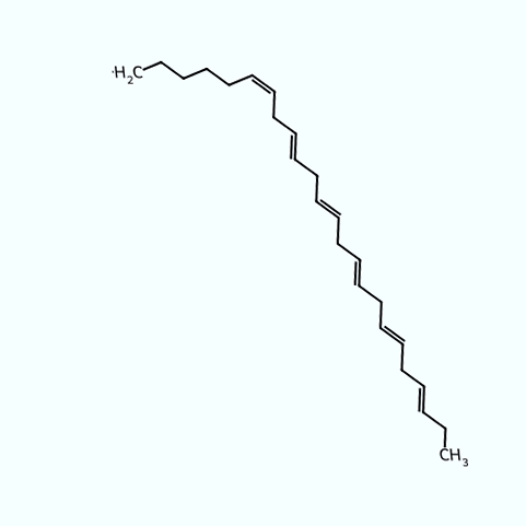 [CH2]CCCC/C=C\CC=CCC=CCC=CCC=CCC=CCC